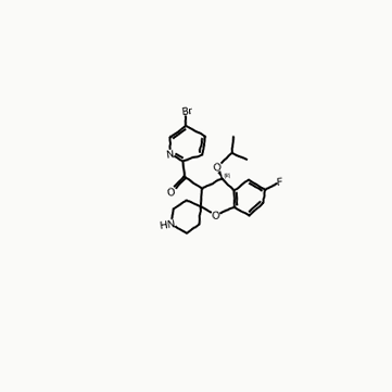 CC(C)O[C@H]1c2cc(F)ccc2OC2(CCNCC2)C1C(=O)c1ccc(Br)cn1